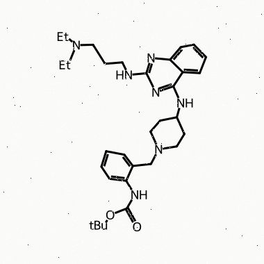 CCN(CC)CCCNc1nc(NC2CCN(Cc3ccccc3NC(=O)OC(C)(C)C)CC2)c2ccccc2n1